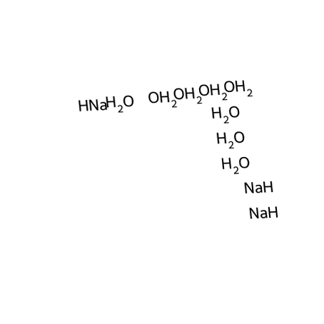 O.O.O.O.O.O.O.O.[NaH].[NaH].[NaH]